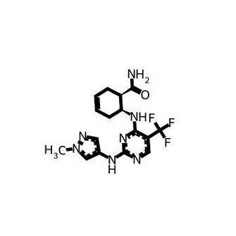 Cn1cc(Nc2ncc(C(F)(F)F)c(N[C@H]3CC=CC[C@H]3C(N)=O)n2)cn1